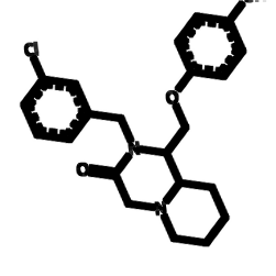 O=C1CN2CCCCC2C(COc2ccc(O)cc2)N1Cc1cccc(Cl)c1